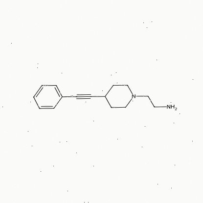 NCCN1CCC(C#Cc2ccccc2)CC1